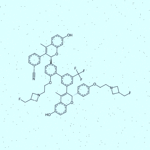 CC1=C(c2cccc(C#N)c2)[C@H](c2ccc(OCCN3CC(CF)C3)c(-c3cc(C4=C(C)c5cc(O)ccc5O[C@H]4c4ccc(OCCN5CC(CF)C5)cc4)cc(C(F)(F)F)c3)c2)Oc2cc(O)ccc21